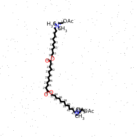 CC(=O)OCC[N+](C)(C)CCCCCCCCCCCOC(=O)CCCCCCCCCCC(=O)OCCCCCCCCCCC[N+](C)(C)CCOC(C)=O